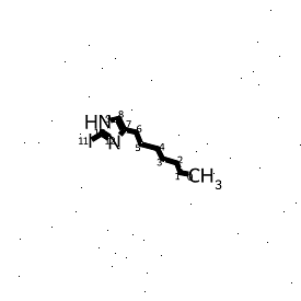 CCCCCCCc1c[nH]c(I)n1